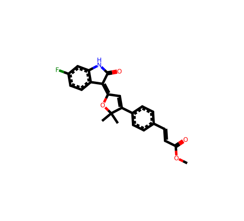 COC(=O)/C=C/c1ccc(C2=C/C(=C3\C(=O)Nc4cc(F)ccc43)OC2(C)C)cc1